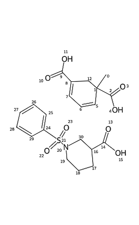 CC1(C(=O)O)C=CC=C(C(=O)O)C1.O=C(O)C1CCCN(S(=O)(=O)c2ccccc2)C1